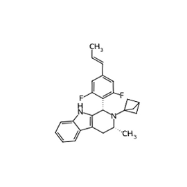 C/C=C/c1cc(F)c([C@H]2c3[nH]c4ccccc4c3C[C@@H](C)N2C23CC(C2)C3)c(F)c1